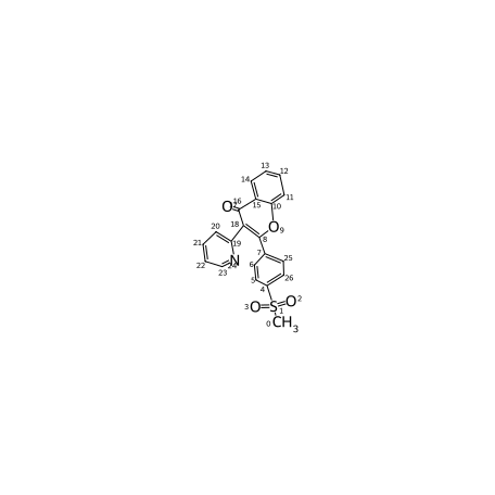 CS(=O)(=O)c1ccc(-c2oc3ccccc3c(=O)c2-c2ccccn2)cc1